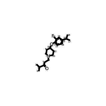 CC(C)C(=O)CCN1CCC(Oc2ccc(C(C)C)cc2F)CC1